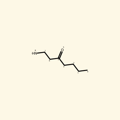 CCCCC(=O)CC[NH]